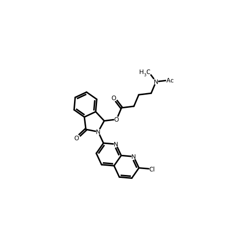 CC(=O)N(C)CCCC(=O)OC1c2ccccc2C(=O)N1c1ccc2ccc(Cl)nc2n1